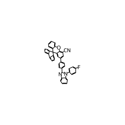 N#Cc1cc(-c2ccc(-c3nc4ccccc4n3-c3ccc(F)cc3)cc2)cc2c1Oc1ccccc1C21c2ccccc2-c2ccccc21